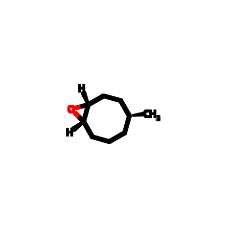 C[C@@H]1CCC[C@@H]2O[C@@H]2CC1